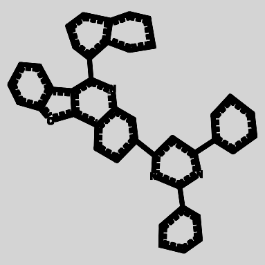 c1ccc(-c2cc(-c3ccc4c(c3)nc(-c3cccc5ccccc35)c3c5ccccc5oc43)nc(-c3ccccc3)n2)cc1